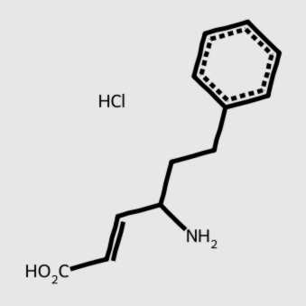 Cl.NC(C=CC(=O)O)CCc1ccccc1